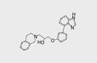 OC(COc1cccc(-c2cccc3[nH]cnc23)c1)CN1CCc2ccccc2C1